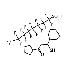 O=C(CC(S)C1CCCCC1)C1CCCC1.O=S(=O)(O)C(F)(F)C(F)(F)C(F)(F)C(F)(F)C(F)(F)C(F)(F)C(F)(F)C(F)(F)F